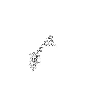 C/C=C/C[C@@H](C)[C@H](CC(N)=O)OC(=O)OCOC(=O)OCC(=O)[C@@]1(O)[C@H](C)CC2C3CCC4=CC(=O)C=C[C@]4(C)[C@@]3(F)[C@@H](O)C[C@@]21C